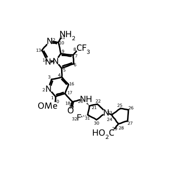 COc1ncc(-c2cc(C(F)(F)F)c3c(N)ncnn23)cc1C(=O)N[C@@H]1CN(C2CCCC2C(=O)O)C[C@@H]1F